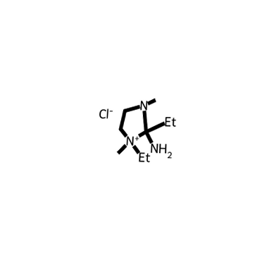 CCC1(N)N(C)CC[N+]1(C)CC.[Cl-]